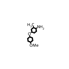 COc1ccc(Oc2ccc(N)c(C)c2)cc1